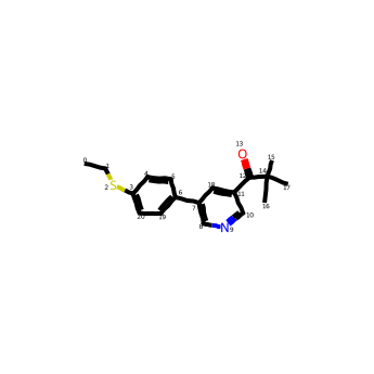 CCSc1ccc(-c2cncc(C(=O)C(C)(C)C)c2)cc1